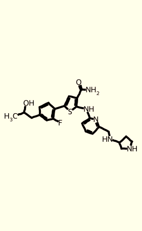 CC(O)Cc1ccc(-c2cc(C(N)=O)c(Nc3cccc(CNC4CCNC4)n3)s2)c(F)c1